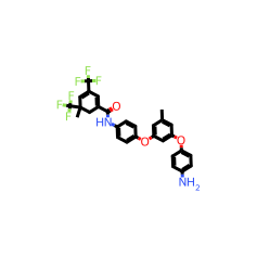 Cc1cc(Oc2ccc(N)cc2)cc(Oc2ccc(NC(=O)C3=CC(C(F)(F)F)=CC(C)(C(F)(F)F)C3)cc2)c1